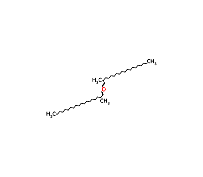 CCCCCCCCCCCCCCCCCC(C)C=COC=CC(C)CCCCCCCCCCCCCCCCC